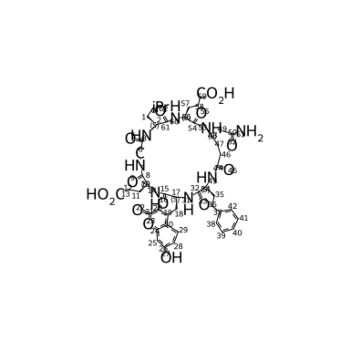 CC(C)C[C@@H]1NC(=O)CNC(=O)[C@H](CCC(=O)O)NC(=O)[C@H](Cc2cc(=O)oc3cc(O)ccc23)NC(=O)[C@H](CCc2ccccc2)NC(=O)CC[C@@H](CC(N)=O)NC(=O)[C@H](CCC(=O)O)NC1=O